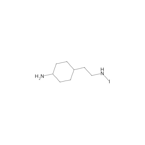 NC1CCC(CCNI)CC1